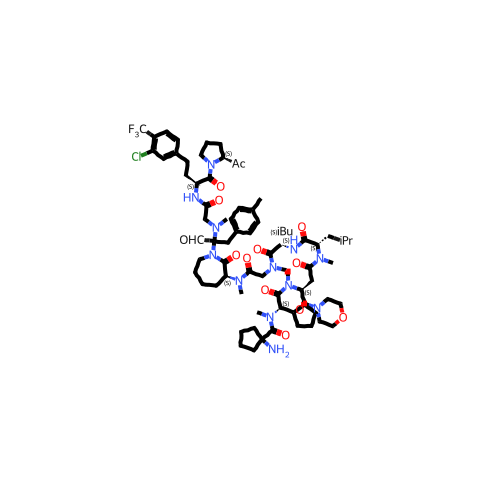 CC[C@H](C)[C@H](NC(=O)[C@H](CC(C)C)N(C)C(=O)C[C@@H](C(=O)N1CCOCC1)N(C)C(=O)[C@H](C1CCCC1)N(C)C(=O)C1(N)CCCC1)C(=O)N(C)CC(=O)N(C)[C@H]1CCCCN(C(C=O)(Cc2ccc(C)cc2)N(C)CC(=O)N[C@@H](CCc2ccc(C(F)(F)F)c(Cl)c2)C(=O)N2CCC[C@H]2C(C)=O)C1=O